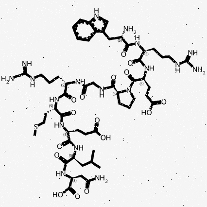 CSCC[C@H](NC(=O)[C@H](CCCNC(=N)N)NC(=O)CNC(=O)[C@@H]1CCCN1C(=O)[C@H](CCC(=O)O)NC(=O)[C@H](CCCNC(=N)N)NC(=O)[C@@H](N)Cc1c[nH]c2ccccc12)C(=O)N[C@@H](CCC(=O)O)C(=O)N[C@@H](CC(C)C)C(=O)N[C@@H](CC(N)=O)C(=O)O